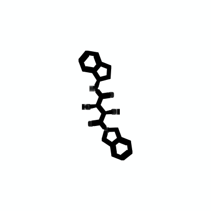 O=C(N[C@@H]1CCc2ccccc21)[C@H](O)[C@@H](O)C(=O)N1Cc2ccccc2C1